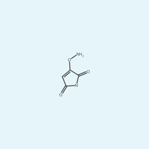 NOC1=CC(=O)[N]C1=O